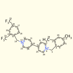 Cc1ccc(C[n+]2ccc(-c3cc[n+](Cc4ccc(C(F)(F)F)cc4C(F)(F)F)cc3)cc2)c(C)c1